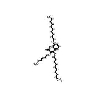 CCC=CCCOc1c(OCCCCCCCCCC)c2cccc(OCCCCCCCCCC)c2oc1=O